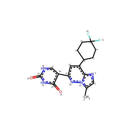 Cc1cnc2c(C3CCC(F)(F)CC3)cc(-c3c[nH]c(=O)[nH]c3=O)nn12